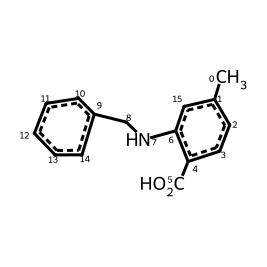 Cc1ccc(C(=O)O)c(NCc2ccccc2)c1